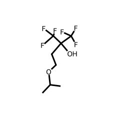 CC(C)OCCC(O)(C(F)(F)F)C(F)(F)F